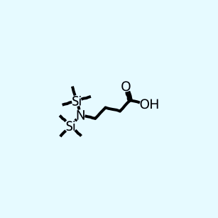 C[Si](C)(C)N(CCCC(=O)O)[Si](C)(C)C